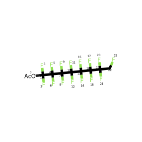 CC(=O)OC(F)(F)C(F)(F)C(F)(F)C(F)(F)C(F)(F)C(F)(F)C(F)(F)CF